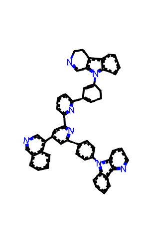 C1=NCCc2c1n(C1=CC(c3cccc(-c4cc(-c5cncc6ccccc56)cc(-c5ccc(-n6c7ccccc7c7ncccc76)cc5)n4)n3)=CCC1)c1ccccc21